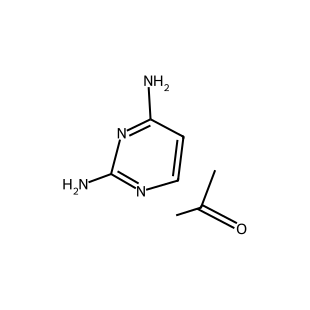 CC(C)=O.Nc1ccnc(N)n1